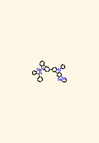 c1ccc(-c2nc(-n3c4ccccc4c4cc(-c5ccc6c(c5)c5cc7nc8ccccn8c7cc5n6-c5ccccc5)ccc43)nc3ccccc23)cc1